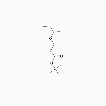 CCC(C)OCOC(=O)OC(C)(C)C